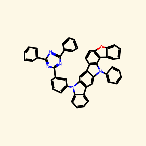 c1ccc(-c2nc(-c3ccccc3)nc(-c3cccc(-n4c5ccccc5c5cc6c(cc54)c4ccc5oc7ccccc7c5c4n6-c4ccccc4)c3)n2)cc1